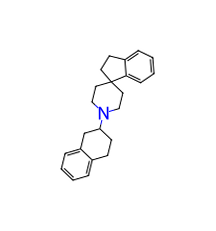 c1ccc2c(c1)CCC(N1CCC3(CCc4ccccc43)CC1)C2